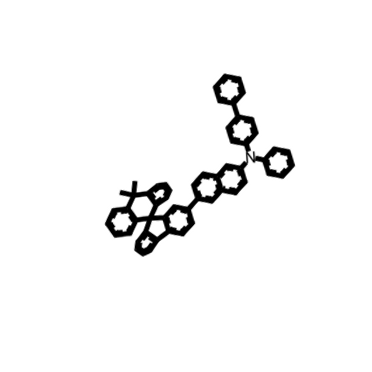 CC1(C)c2ccccc2C2(c3ccccc3-c3ccc(-c4ccc5cc(N(c6ccccc6)c6ccc(-c7ccccc7)cc6)ccc5c4)cc32)c2ccccc21